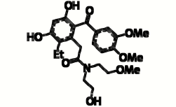 CCc1c(O)cc(O)c(C(=O)c2ccc(OC)c(OC)c2)c1CC(=O)N(CCO)CCOC